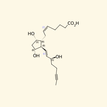 CC#CCC[C@H](O)/C=C/[C@@H]1[C@@H](C/C=C\CCCC(=O)O)[C@@H](O)C[C@H]1O